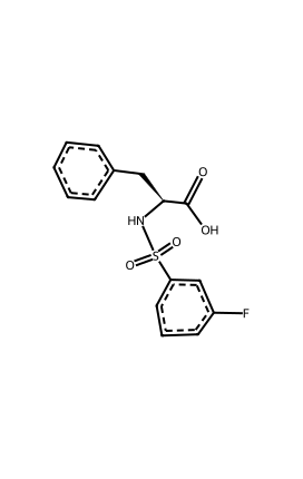 O=C(O)[C@H](Cc1ccccc1)NS(=O)(=O)c1cccc(F)c1